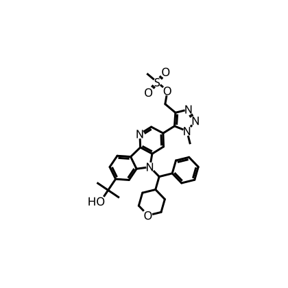 Cn1nnc(COS(C)(=O)=O)c1-c1cnc2c3ccc(C(C)(C)O)cc3n(C(c3ccccc3)C3CCOCC3)c2c1